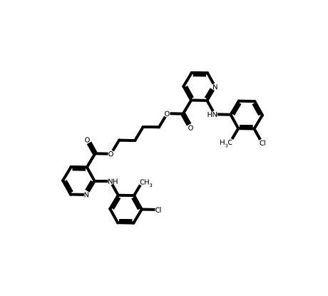 Cc1c(Cl)cccc1Nc1ncccc1C(=O)OCCCCOC(=O)c1cccnc1Nc1cccc(Cl)c1C